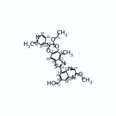 CCOC(=O)N(Oc1cc(C)c2nc(-c3cc(CO)cc4nc(OC)cnc34)sc2c1)c1ccnc(C)c1